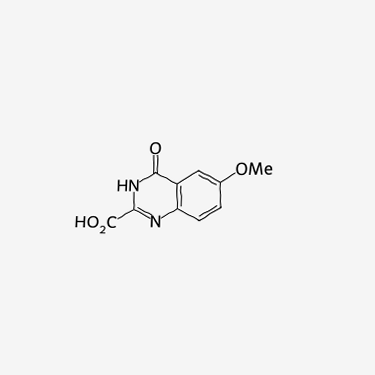 COc1ccc2nc(C(=O)O)[nH]c(=O)c2c1